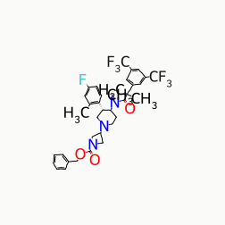 Cc1cc(F)ccc1[C@H]1CN(C2CN(C(=O)OCc3ccccc3)C2)CC[C@@H]1N(C)C(=O)C(C)(C)c1cc(C(F)(F)F)cc(C(F)(F)F)c1